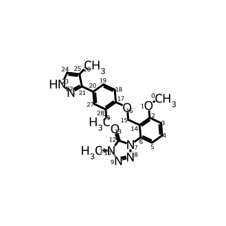 COc1cccc(-n2nnn(C)c2=O)c1COc1ccc(-c2n[nH]cc2C)cc1C